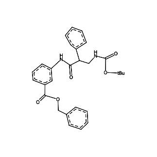 CC(C)(C)OC(=O)NCC(C(=O)Nc1cccc(C(=O)OCc2ccccc2)c1)c1ccccc1